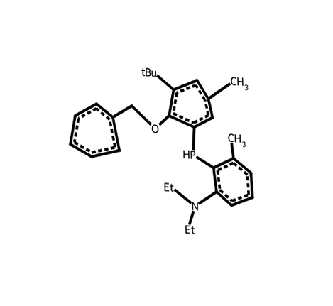 CCN(CC)c1cccc(C)c1Pc1cc(C)cc(C(C)(C)C)c1OCc1ccccc1